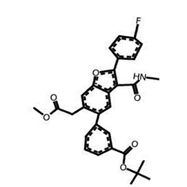 CNC(=O)c1c(-c2ccc(F)cc2)oc2cc(CC(=O)OC)c(-c3cccc(C(=O)OC(C)(C)C)c3)cc12